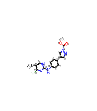 CC(C)(C)OC(=O)n1cc(-c2ccc(Nc3ncc(C(F)(F)F)c(Cl)n3)cc2)cn1